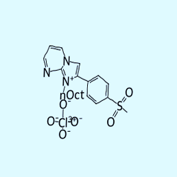 CCCCCCCC[n+]1c(-c2ccc(S(C)(=O)=O)cc2)cn2cccnc21.[O-][Cl+3]([O-])([O-])[O-]